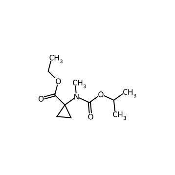 CCOC(=O)C1(N(C)C(=O)OC(C)C)CC1